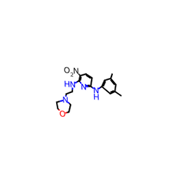 Cc1cc(C)cc(Nc2ccc([N+](=O)[O-])c(NCCN3CCOCC3)n2)c1